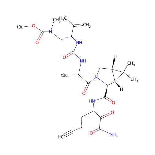 C#CCCC(NC(=O)[C@@H]1[C@@H]2[C@H](CN1C(=O)[C@@H](NC(=O)N[C@H](CN(C)C(=O)OC(C)(C)C)C(=C)C)C(C)(C)C)C2(C)C)C(=O)C(N)=O